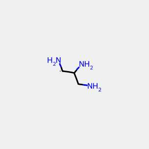 N[CH]C(N)CN